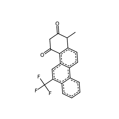 CC1C(=O)CC(=O)c2c1ccc1c2cc(C(F)(F)F)c2ccccc21